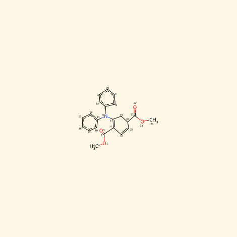 COC(=O)C1=C(N(c2ccccc2)c2ccccc2)CC(C(=O)OC)C=C1